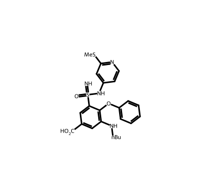 CCCCNc1cc(C(=O)O)cc(S(=N)(=O)Nc2ccnc(SC)c2)c1Oc1ccccc1